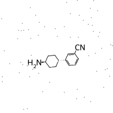 N#Cc1cccc([C@H]2CC[C@H](N)CC2)c1